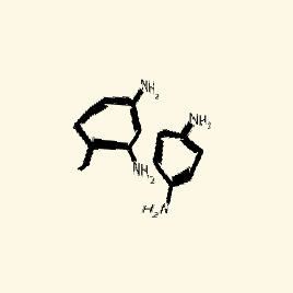 Cc1ccc(N)cc1N.Nc1ccc(N)cc1